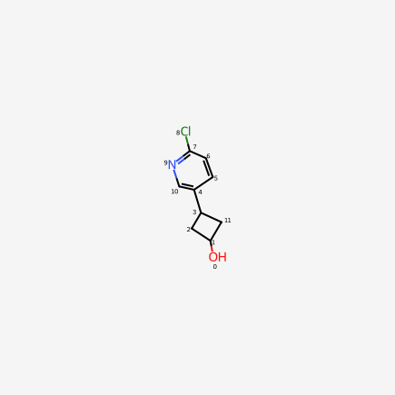 OC1CC(c2ccc(Cl)nc2)C1